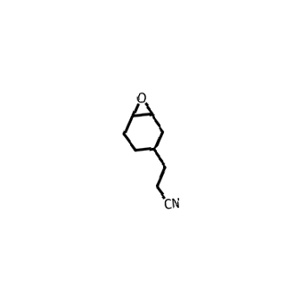 N#CCCC1CCC2OC2C1